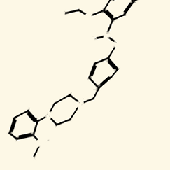 CCOc1ccc(Br)cc1[S+]([O-])Nc1ccc(CN2CCN(c3ccccc3OC)CC2)cc1